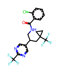 O=C(NCC(CC1(C(F)(F)F)CC1)c1cnc(C(F)(F)F)nc1)c1ccccc1Cl